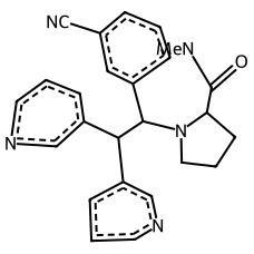 CNC(=O)C1CCCN1C(c1cccc(C#N)c1)C(c1cccnc1)c1cccnc1